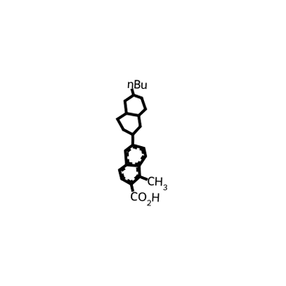 CCCCC1CCC2CC(c3ccc4c(C)c(C(=O)O)ccc4c3)CCC2C1